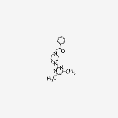 Cc1cc(C)nc(N2CC3CC2CN(CC(=O)c2ccccc2)C3)n1